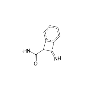 [NH]C(=O)C1C(=N)c2ccccc21